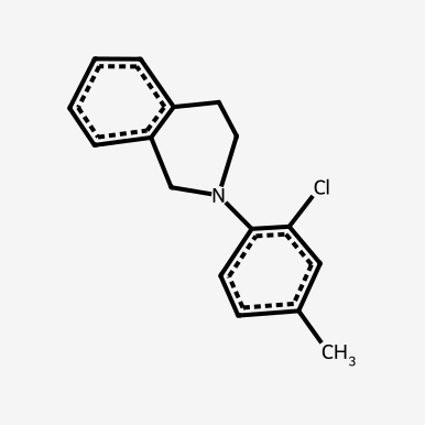 Cc1ccc(N2CCc3ccccc3C2)c(Cl)c1